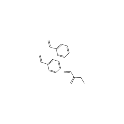 C=CC(=C)CC.C=Cc1ccccc1.C=Cc1ccccc1